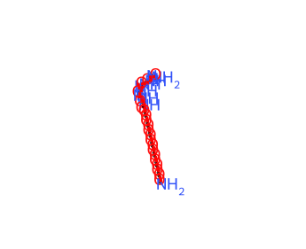 Cn1cc(NC(=O)c2nc(NC(=O)CCNC(=O)COCCOCCOCCOCCOCCOCCOCCOCCOCCOCCOCCOCCOCCOCCOCCN)cn2C)cc1C(=O)NCCC(=O)Nc1cn(C)c(C(N)=O)n1